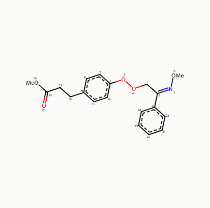 CO/N=C(\COOc1ccc(CCC(=O)OC)cc1)c1ccccc1